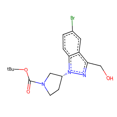 CC(C)(C)OC(=O)N1CC[C@@H](n2nc(CO)c3cc(Br)ccc32)C1